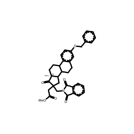 COC(=O)CC1(CN2C(=O)c3ccccc3C2=O)CC2C3CCc4cc(OCc5ccccc5)ccc4C3CC[C@]2(C)C1=O